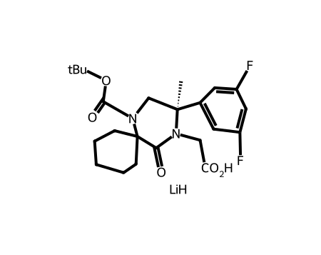 CC(C)(C)OC(=O)N1C[C@@](C)(c2cc(F)cc(F)c2)N(CC(=O)O)C(=O)C12CCCCC2.[LiH]